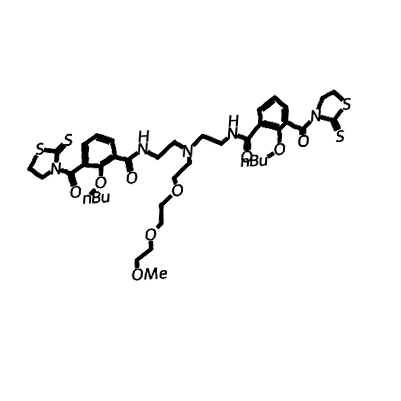 CCCCOc1c(C(=O)NCCN(CCNC(=O)c2cccc(C(=O)N3CCSC3=S)c2OCCCC)CCOCCOCCOC)cccc1C(=O)N1CCSC1=S